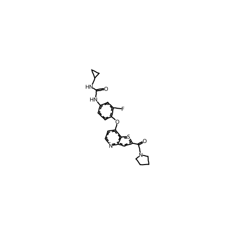 O=C(Nc1ccc(Oc2ccnc3cc(C(=O)N4CCCC4)sc23)c(F)c1)NC1CC1